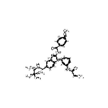 C=CC(=O)Nc1cccc(-n2c(NC(=O)c3ccc(OC)cc3)nc3cc(CN[C@@H](C)C(C)(C)C)ccc32)c1